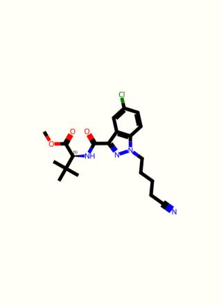 COC(=O)[C@@H](NC(=O)c1nn(CCCCC#N)c2ccc(Cl)cc12)C(C)(C)C